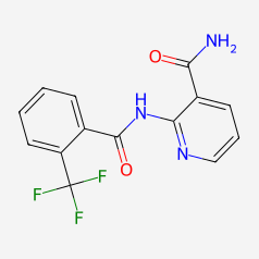 NC(=O)c1cccnc1NC(=O)c1ccccc1C(F)(F)F